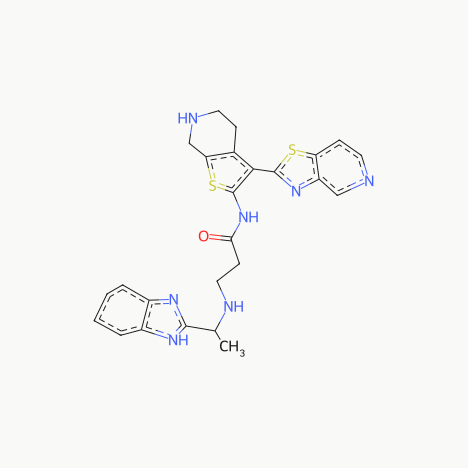 CC(NCCC(=O)Nc1sc2c(c1-c1nc3cnccc3s1)CCNC2)c1nc2ccccc2[nH]1